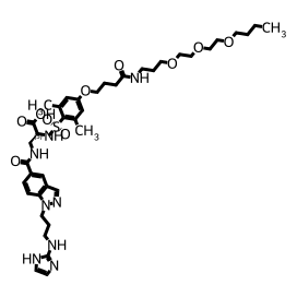 CCCCOCCOCCOCCCNC(=O)CCCOc1cc(C)c(S(=O)(=O)N[C@@H](CNC(=O)c2ccc3c(cnn3CCCNc3ncc[nH]3)c2)C(=O)O)c(C)c1